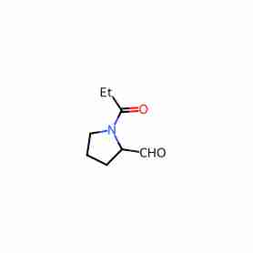 CCC(=O)N1CCCC1C=O